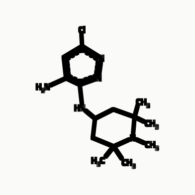 CN1C(C)(C)CC(Nc2nnc(Cl)cc2N)CC1(C)C